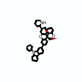 C1=CCNC(c2ccc3c(c2)Oc2cc(-c4ccc5c6ccccc6n(C6=CCCC=C6)c5c4)ccc2C32c3ccccc3Oc3ccccc32)=C1